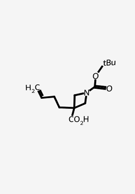 C=CCCC1(C(=O)O)CN(C(=O)OC(C)(C)C)C1